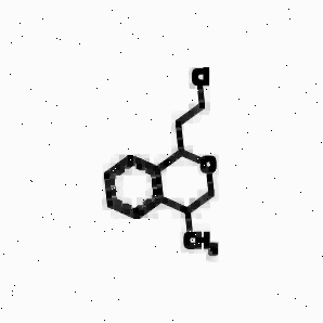 CC1COC(CCCl)c2ccccc21